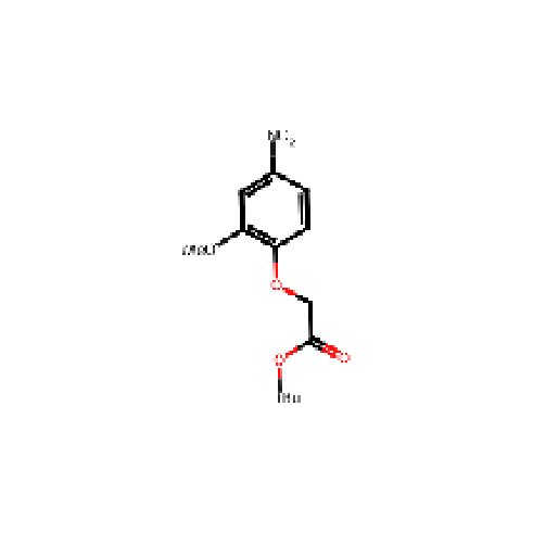 COc1cc([N+](=O)[O-])ccc1OCC(=O)OC(C)(C)C